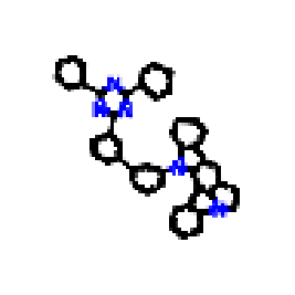 c1ccc(-c2nc(-c3ccccc3)nc(-c3cccc(-c4cccc(-n5c6ccccc6c6cc7ccn8c9ccccc9c(c65)c78)c4)c3)n2)cc1